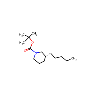 CCCCC[C@@H]1CCCN(C(=O)OC(C)(C)C)C1